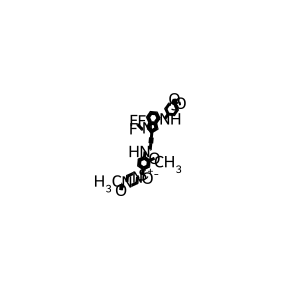 COc1cc([S+]([O-])N2CCN(C(C)=O)CC2)ccc1NCC#Cc1cc2c(NC3CCS(=O)(=O)CC3)cccc2n1CC(F)(F)F